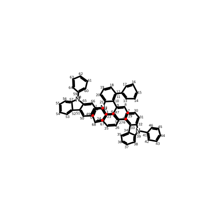 c1ccc(-c2ccccc2-c2c(-c3ccccc3)cccc2N(c2cccc(-c3cccc4c3c3ccccc3n4-c3ccccc3)c2)c2ccc3c4ccccc4n(-c4ccccc4)c3c2)cc1